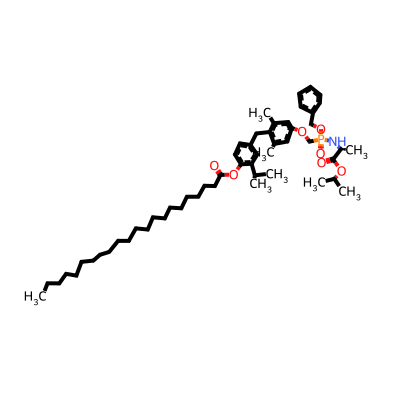 CCCCCCCCCCCCCCCCCCCCCC(=O)Oc1ccc(Cc2c(C)cc(OCP(=O)(N[C@@H](C)C(=O)OC(C)C)OCc3ccccc3)cc2C)cc1C(C)C